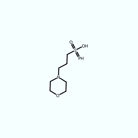 O=S(O)(=P)CCCN1CCOCC1